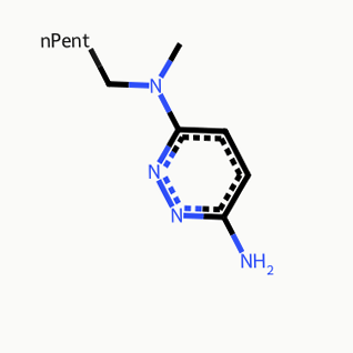 CCCCCCN(C)c1ccc(N)nn1